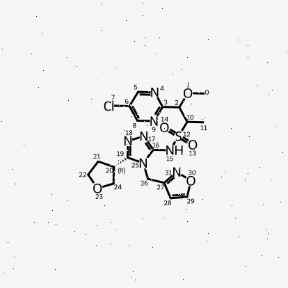 COC(c1ncc(Cl)cn1)C(C)S(=O)(=O)Nc1nnc([C@H]2CCOC2)n1Cc1ccon1